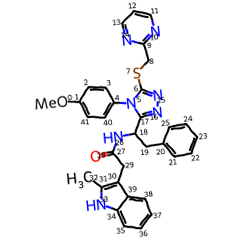 COc1ccc(-n2c(SCc3ncccn3)nnc2C(Cc2ccccc2)NC(=O)Cc2c(C)[nH]c3ccccc23)cc1